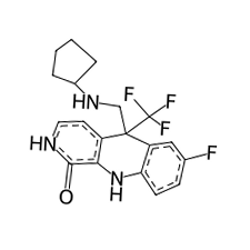 O=c1[nH]ccc2c1Nc1ccc(F)cc1C2(CNC1CCCC1)C(F)(F)F